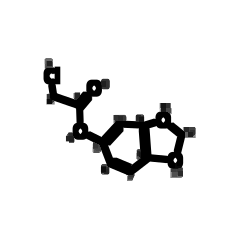 O=C(CCl)Oc1ccc2c(c1)OCO2